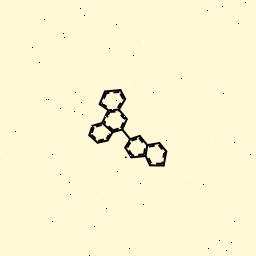 [c]1cc(-c2cc3ccccc3c3ccccc23)cc2ccccc12